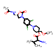 COCC1(OC(=O)C(N)C(C)C)CCN(c2c(F)cc(N3C[C@H](CNC(C)=O)OC3=O)cc2F)CC1